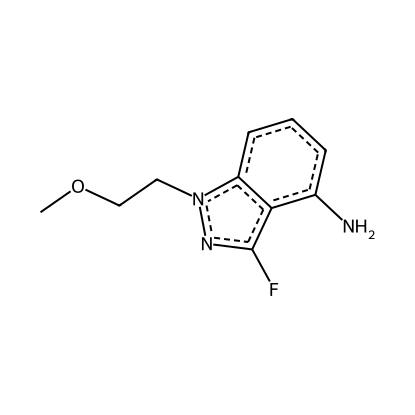 COCCn1nc(F)c2c(N)cccc21